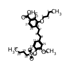 CCCCOc1c(CCCc2ccc(OS(=O)(=O)CCCC)c(OC)c2)ccc(C(=O)O)c1F